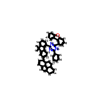 CC1(C)c2cc(-c3ccc4ccc5cccc6ccc3c4c56)ccc2-c2c(-c3nc(-c4ccccc4)nc(-c4cccc5oc6ccccc6c45)n3)cccc21